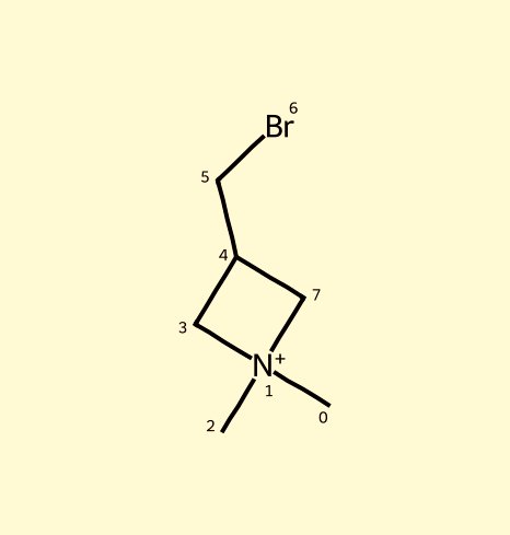 C[N+]1(C)CC(CBr)C1